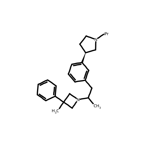 CC(C)N1CC[C@H](c2cccc(CC(C)N3CC(C)(c4ccccc4)C3)c2)C1